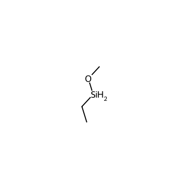 CC[SiH2]OC